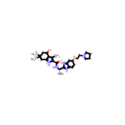 CCCC[C@H](NC(=O)c1[nH]c2c(c1C)C(=O)CC(C)(C)C2)c1nc2ccc(OCCN3CCCC3)cc2[nH]1